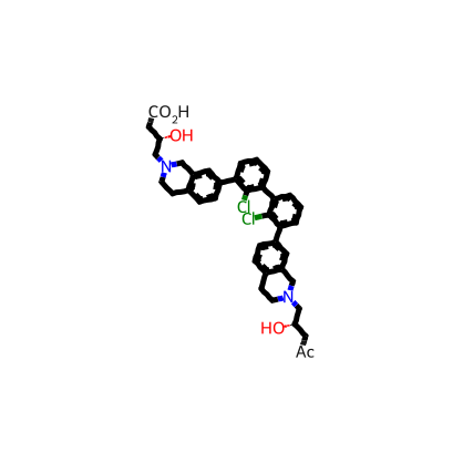 CC(=O)C[C@H](O)CN1CCc2ccc(-c3cccc(-c4cccc(-c5ccc6c(c5)CN(C[C@@H](O)CC(=O)O)CC6)c4Cl)c3Cl)cc2C1